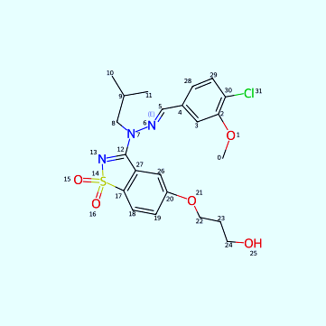 COc1cc(/C=N/N(CC(C)C)C2=NS(=O)(=O)c3ccc(OCCCO)cc32)ccc1Cl